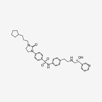 O=C1N(CCCC2CCCC2)CCN1c1ccc(S(=O)(=O)Nc2ccc(CCNC[C@H](O)c3cccnc3)cc2)cc1